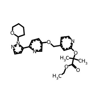 CCOC(=O)C(C)(C)Oc1cc(COc2ccc(-c3ccnn3C3CCCCO3)nc2)ccn1